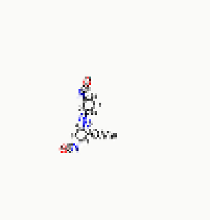 COc1cc(N=C=O)ccc1N=Nc1cccc(N=C=O)c1